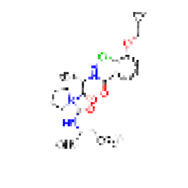 CC(C)(C)[C@H](NC(=O)c1cccc(OCC2CC2)c1Cl)C(=O)[N+]1(C(=O)N[C@H](C=O)CC(=O)O)CCCC1